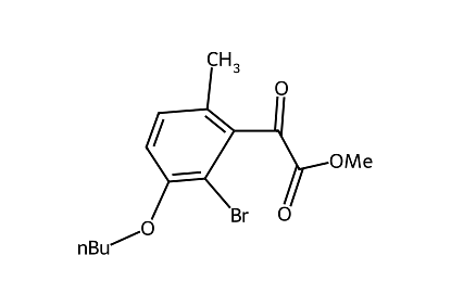 CCCCOc1ccc(C)c(C(=O)C(=O)OC)c1Br